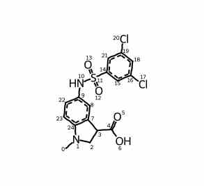 CN1CC(C(=O)O)c2cc(NS(=O)(=O)c3cc(Cl)cc(Cl)c3)ccc21